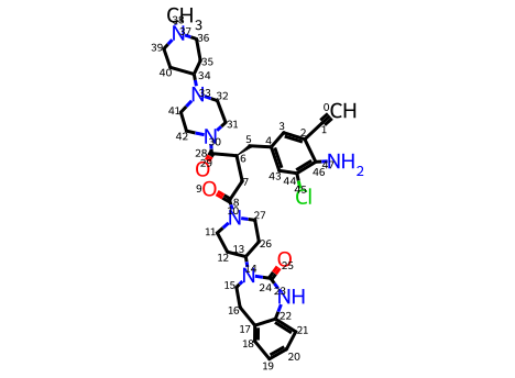 C#Cc1cc(C[C@@H](CC(=O)N2CCC(N3CCc4ccccc4NC3=O)CC2)C(=O)N2CCN(C3CCN(C)CC3)CC2)cc(Cl)c1N